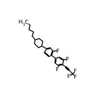 CCCCCC1CCC(c2ccc(-c3cc(F)c(C#CC(F)(F)F)c(F)c3)c(F)c2)CC1